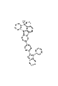 CC1(C)c2ccccc2-n2c3ccc(-c4ccc(-c5nc6ccccc6n5-c5ccccc5)cc4)cc3c3cccc1c32